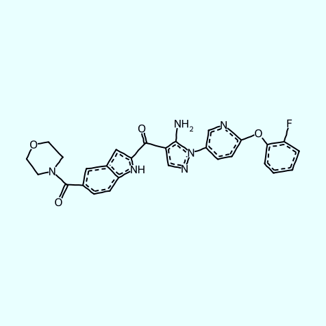 Nc1c(C(=O)c2cc3cc(C(=O)N4CCOCC4)ccc3[nH]2)cnn1-c1ccc(Oc2ccccc2F)nc1